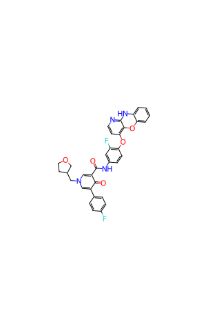 O=C(Nc1ccc(Oc2ccnc3c2Oc2ccccc2N3)c(F)c1)c1cn(CC2CCOC2)cc(-c2ccc(F)cc2)c1=O